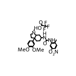 COc1ccc(C23CCC(NC(=O)Nc4cc([N+](=O)[O-])ccc4C)CC2N(C)CC3)cc1OC.O=C(O)C(F)(F)F